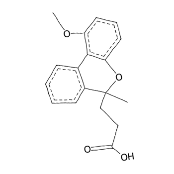 COc1cccc2c1-c1ccccc1C(C)(CCC(=O)O)O2